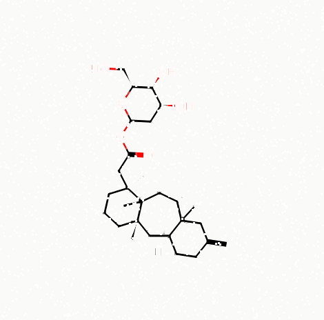 C=C1CC[C@H]2C[C@]3(C)CCC[C@@](C)(CC(=O)OC4C[C@H](O)[C@H](O)[C@H](CO)O4)C3(C)CCC2(C)C1